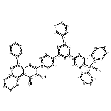 N=C1C(=N)c2c(c(-c3ccccc3)nc3ccccc23)C=C1c1ccc(-c2cc(-c3ccc(P(=O)(c4ccccc4)c4ccccc4)cc3)nc(-c3ccccc3)n2)cc1